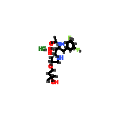 CC(=O)N[C@@H](Cc1cc(F)cc(F)c1)[C@@H](O)[C@H]1C[C@@H](OCCC(C)(C)O)CN1.Cl